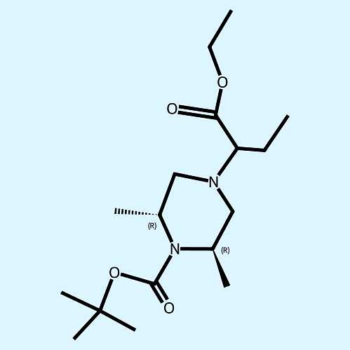 CCOC(=O)C(CC)N1C[C@@H](C)N(C(=O)OC(C)(C)C)[C@H](C)C1